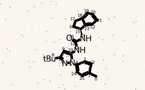 Cc1ccc(-n2nc(C(C)(C)C)cc2NC(=O)N[C@H]2CCc3ccccc32)cc1